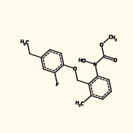 CCc1ccc(OCc2c(C)cccc2N(O)C(=O)OC)c(F)c1